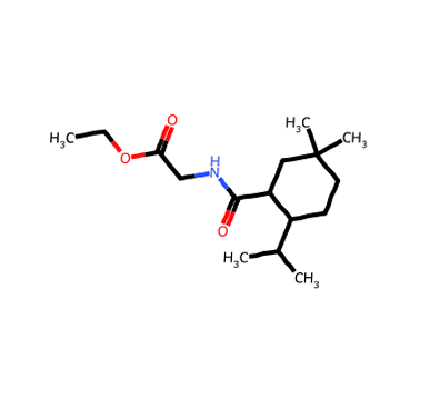 CCOC(=O)CNC(=O)C1CC(C)(C)CCC1C(C)C